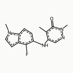 Cc1c(Nc2ccc3c(ccn3C)c2F)cnn(C)c1=O